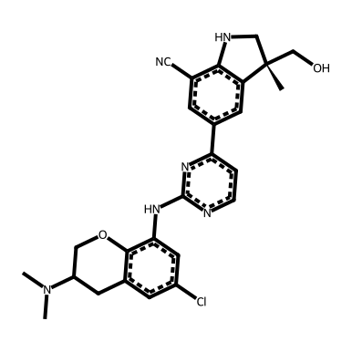 CN(C)C1COc2c(cc(Cl)cc2Nc2nccc(-c3cc(C#N)c4c(c3)[C@@](C)(CO)CN4)n2)C1